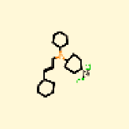 C(=CC1CCCCC1)CP(C1CCCCC1)C1CCCCC1.[Cl][Ni][Cl]